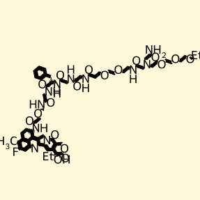 CCOCCOCCOCCN(CC(N)=O)CC(=O)NCCOCCOCCC(=O)NCC(=O)NCC(=O)N[C@@H](Cc1ccccc1)C(=O)NCC(=O)NCOCC(=O)N[C@H]1CCc2c(C)c(F)cc3nc4c(c1c23)Cn1c-4cc2c(c1=O)COC(=O)[C@]2(O)CC